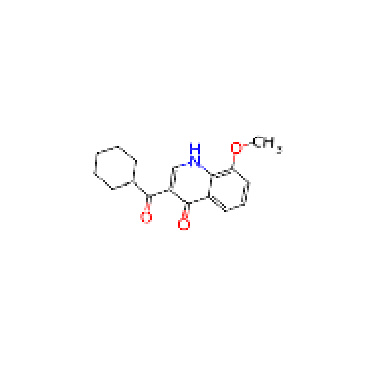 COc1cccc2c(=O)c(C(=O)C3CCCCC3)c[nH]c12